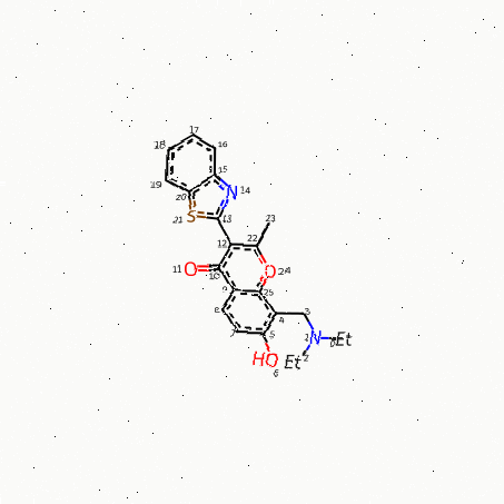 CCN(CC)Cc1c(O)ccc2c(=O)c(-c3nc4ccccc4s3)c(C)oc12